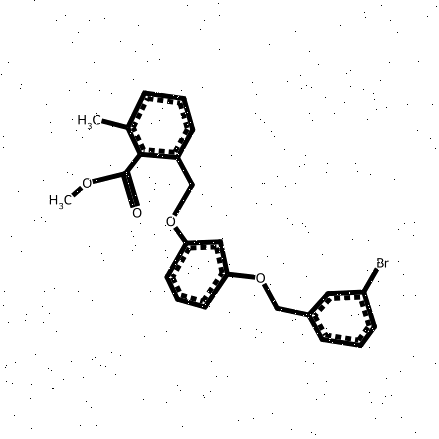 COC(=O)c1c(C)cccc1COc1cccc(OCc2cccc(Br)c2)c1